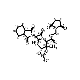 C[C@@]1(O[N+](=O)[O-])CS[C@H]2C(N3C(=O)C4CCCCC4C3=O)C(=O)N2C1C(=O)OCN1C(=O)CCC1=O